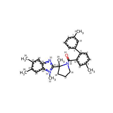 Cc1cccc(-c2ccc(C)cc2C(=O)N2CCCC2(C)c2nc3cc(C)c(C)cc3n2C)c1